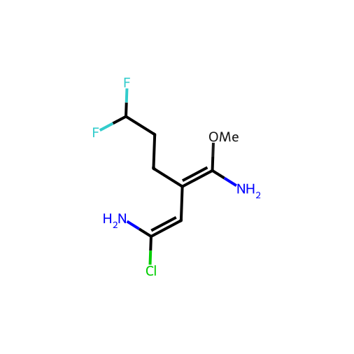 CO/C(N)=C(/C=C(\N)Cl)CCC(F)F